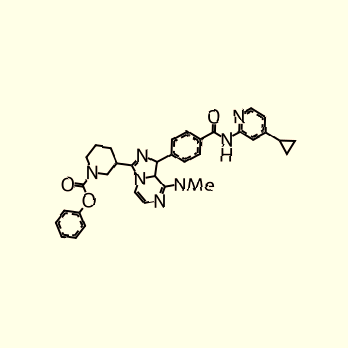 CNC1=NC=CN2C(C3CCCN(C(=O)Oc4ccccc4)C3)=NC(c3ccc(C(=O)Nc4cc(C5CC5)ccn4)cc3)C12